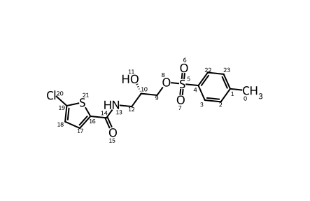 Cc1ccc(S(=O)(=O)OC[C@@H](O)CNC(=O)c2ccc(Cl)s2)cc1